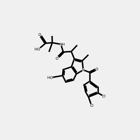 Cc1c(C(C)C(=O)NC(C)(C)C(=O)O)c2cc(O)ccc2n1C(=O)c1ccc(Cl)c(Cl)c1